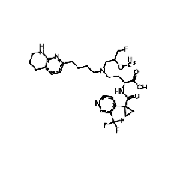 COC(CF)CN(CCCCc1ccc2c(n1)NCCC2)CCC(NC(=O)C1(c2ccncc2C(F)(F)F)CC1)C(=O)O